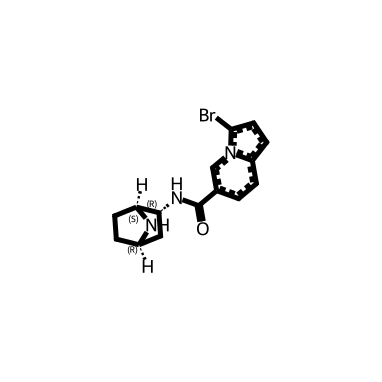 O=C(N[C@@H]1C[C@H]2CC[C@@H]1N2)c1ccc2ccc(Br)n2c1